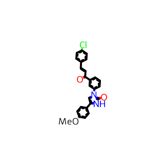 COc1ccc(-c2cn(-c3cccc(C(=O)C=Cc4ccc(Cl)cc4)c3)c(=O)[nH]2)cc1